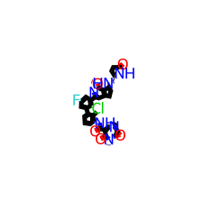 COc1nc(-c2cc(F)cc(-c3cccc(NC(=O)C4=CN(C)C5OC5N(C)C4=O)c3C)c2Cl)cc2c1[C@@H](NC[C@@H]1CCC(=O)N1)CC2